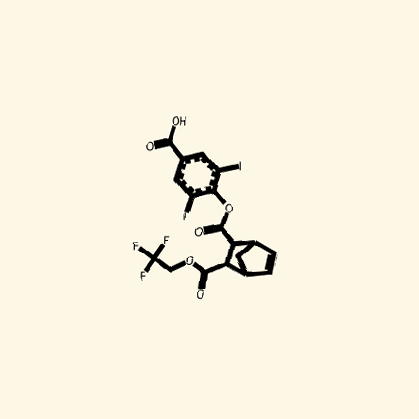 O=C(O)c1cc(I)c(OC(=O)C2C3C=CC(C3)C2C(=O)OCC(F)(F)F)c(I)c1